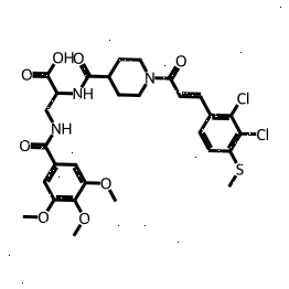 COc1cc(C(=O)NCC(NC(=O)C2CCN(C(=O)C=Cc3ccc(SC)c(Cl)c3Cl)CC2)C(=O)O)cc(OC)c1OC